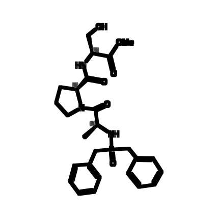 COC(=O)[C@H](CO)NC(=O)[C@@H]1CCCN1C(=O)[C@H](C)NP(=O)(Cc1ccccc1)Cc1ccccc1